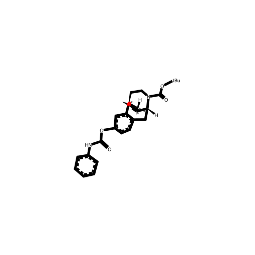 CC(C)(C)OC(=O)N1CC[C@]23CCCC[C@H]2[C@H]1Cc1ccc(OC(=O)Nc2ccccc2)cc13